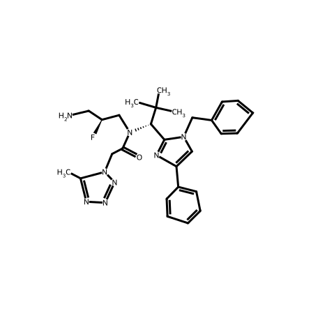 Cc1nnnn1CC(=O)N(C[C@@H](F)CN)[C@@H](c1nc(-c2ccccc2)cn1Cc1ccccc1)C(C)(C)C